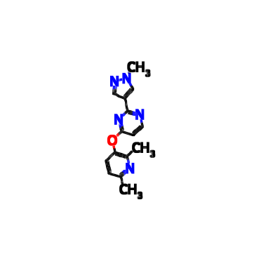 Cc1ccc(Oc2ccnc(-c3cnn(C)c3)n2)c(C)n1